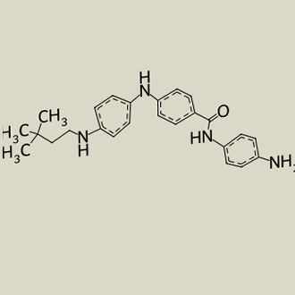 CC(C)(C)CCNc1ccc(Nc2ccc(C(=O)Nc3ccc(N)cc3)cc2)cc1